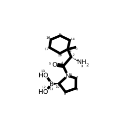 CC1([C@H](N)C(=O)N2CCC[C@H]2B(O)O)CCCCC1